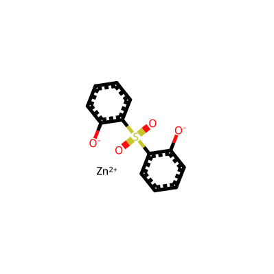 O=S(=O)(c1ccccc1[O-])c1ccccc1[O-].[Zn+2]